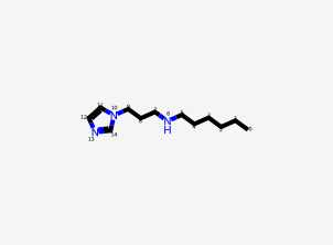 CCCCCCNCCCn1ccnc1